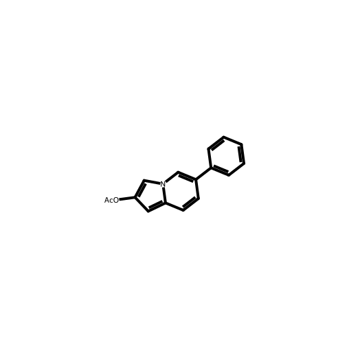 CC(=O)Oc1cc2ccc(-c3ccccc3)cn2c1